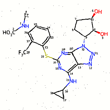 CCNC(=O)O.O[C@@H]1[C@H](O)CC[C@H]1n1nnc2c(NC3CC3)nc(Sc3ccccc3C(F)(F)F)nc21